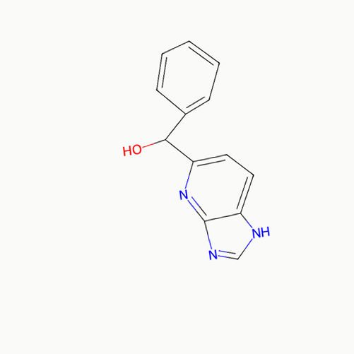 OC(c1ccccc1)c1ccc2[nH]cnc2n1